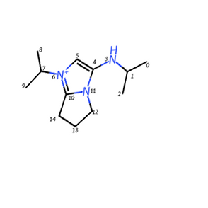 CC(C)Nc1c[n+](C(C)C)c2n1CCC2